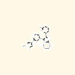 Cc1cccc(-c2nc3n(c2-c2ccnc(-c4cnn(C)c4)c2)[C@H](C)CCC3)n1